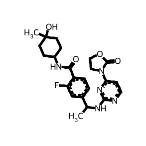 CC(Nc1nccc(N2CCOC2=O)n1)c1ccc(C(=O)NC2CCC(C)(O)CC2)c(F)c1